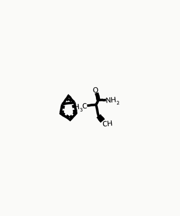 C#CC(C)C(N)=O.c1cc2cc-2c1